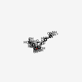 Nc1nc(=O)c2nc(CNc3ccc(C(=O)N[C@@H](CCC(=O)OC[C@H]4O[C@H](O[C@]5(CO)O[C@H](CO)[C@@H](O)[C@@H]5O)[C@H](O)[C@@H](O)[C@@H]4O)C(=O)OC[C@H]4O[C@H](O[C@]5(CO)O[C@H](CO)[C@@H](O)[C@@H]5O)[C@H](O)[C@@H](O)[C@@H]4O)cc3)cnc2[nH]1